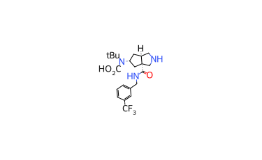 CC(C)(C)N(C(=O)O)[C@@H]1C[C@H]2CNC[C@@]2(C(=O)NCc2cccc(C(F)(F)F)c2)C1